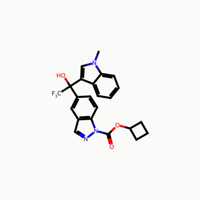 Cn1cc(C(O)(c2ccc3c(cnn3C(=O)OC3CCC3)c2)C(F)(F)F)c2ccccc21